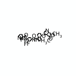 COc1cc2nccc(Oc3cccc4c(C(=O)Nc5ccc(NC(=O)c6cccnc6F)c(C(F)(F)F)c5)cccc34)c2cc1OC